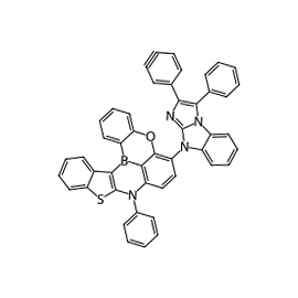 c1ccc(-c2nc3n(-c4ccc5c6c4Oc4ccccc4B6c4c(sc6ccccc46)N5c4ccccc4)c4ccccc4n3c2-c2ccccc2)cc#1